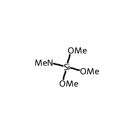 CN[Si](OC)(OC)OC